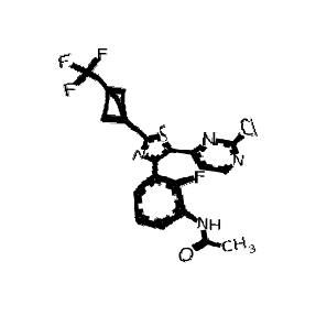 CC(=O)Nc1cccc(-c2nc(C34CC(C(F)(F)F)(C3)C4)sc2-c2ccnc(Cl)n2)c1F